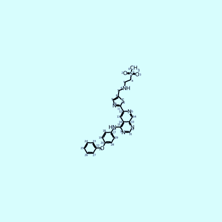 CS(=O)(=O)CCNCc1cnc(-c2cc3c(Nc4ccc(Oc5ccccc5)cc4)ncnc3cn2)s1